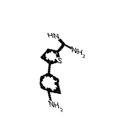 N=C(N)c1ccc(-c2ccc(N)cc2)s1